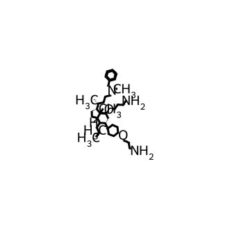 CCCC1[C@@H]2CC[C@H]([C@H](C)CCCN(C)Cc3ccccc3)C2(C)[C@@H](OCCCN)C[C@@H]1[C@]1(C)CC[C@H](OCCCN)CC1